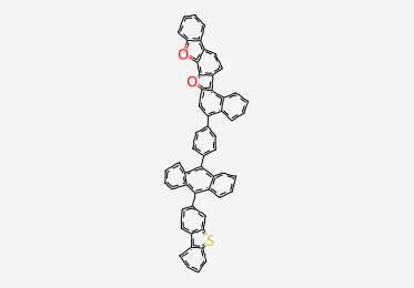 c1ccc2c(c1)oc1c2ccc2c1oc1cc(-c3ccc(-c4c5ccccc5c(-c5ccc6c(c5)sc5ccccc56)c5ccccc45)cc3)c3ccccc3c12